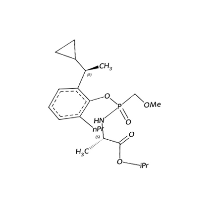 CCCc1cccc([C@H](C)C2CC2)c1OP(=O)(COC)N[C@@H](C)C(=O)OC(C)C